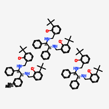 CC(C)(C)c1cccc(CN[C@H](c2ccccc2)[C@H](NCc2cccc(C(C)(C)C)c2[O-])c2ccccc2)c1[O-].CC(C)(C)c1cccc(CN[C@H](c2ccccc2)[C@H](NCc2cccc(C(C)(C)C)c2[O-])c2ccccc2)c1[O-].CC(C)(C)c1cccc(CN[C@H](c2ccccc2)[C@H](NCc2cccc(C(C)(C)C)c2[O-])c2ccccc2)c1[O-].[Mn+3].[Mn+3]